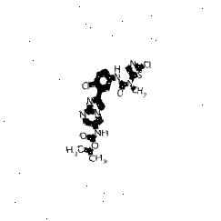 CC(C)OC(=O)Nc1cnc2nc(-c3cc(NC(=O)N(C)c4cnc(Cl)s4)ccc3Cl)cn2c1